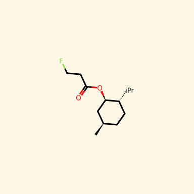 CC(C)[C@@H]1CC[C@@H](C)C[C@H]1OC(=O)CCF